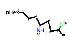 CCCCCCCCCCCCC(C)Cl.N